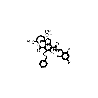 CO[C@H]1CC[C@H](C)N2C[C@]13CCc1c(C(=O)NCc4c(F)cc(F)cc4F)c(=O)c(OCc4ccccc4)c(n13)C2=O